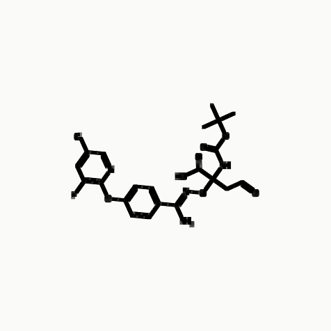 CC(C)(C)OC(=O)NC(CC=O)(ON=C(N)c1ccc(Oc2ncc(Cl)cc2F)cc1)C(=O)O